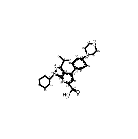 CC(C)c1nn(C2CCCCC2)c2nc(C(=O)O)cc(-c3ccc(N4CCOCC4)cc3)c12